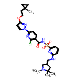 CC1(C)CC(CNc2cccc(S(=O)(=O)NC(=O)c3ccc(-n4ccc(OCCC5(C(F)(F)F)CC5)n4)nc3Cl)n2)CN1C(=O)O